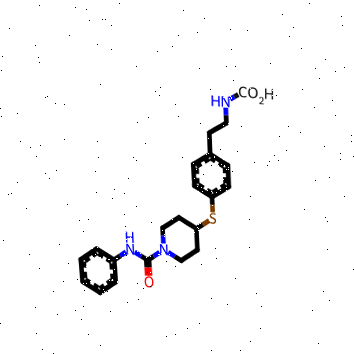 O=C(O)NCCc1ccc(SC2CCN(C(=O)Nc3ccccc3)CC2)cc1